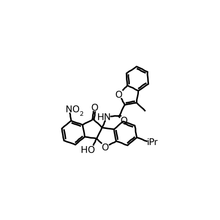 Cc1c(C(=O)NC23C(=O)c4c([N+](=O)[O-])cccc4C2(O)Oc2cc(C(C)C)ccc23)oc2ccccc12